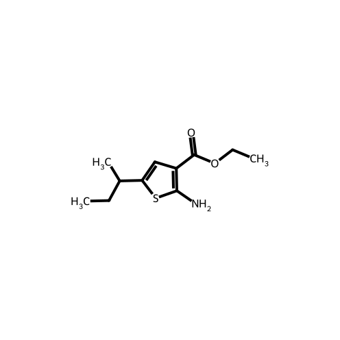 CCOC(=O)c1cc(C(C)CC)sc1N